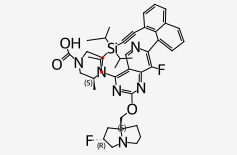 CC(C)[Si](C#Cc1cccc2cccc(-c3ncc4c(N5CCN(C(=O)O)C[C@@H]5C)nc(OC[C@@]56CCCN5C[C@H](F)C6)nc4c3F)c12)(C(C)C)C(C)C